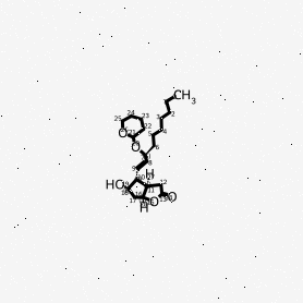 CCCCCCC[C@@H](C=C[C@@H]1[C@H]2CC(=O)O[C@H]2C[C@H]1O)OC1CCCCO1